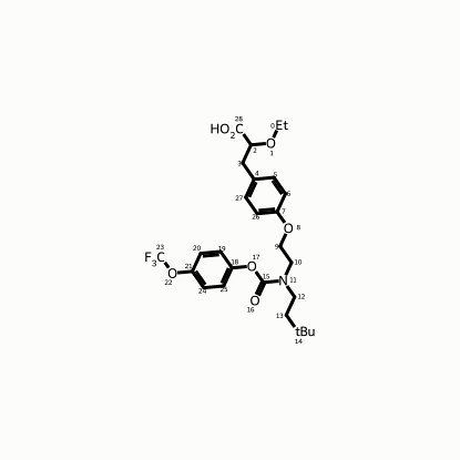 CCOC(Cc1ccc(OCCN(CCC(C)(C)C)C(=O)Oc2ccc(OC(F)(F)F)cc2)cc1)C(=O)O